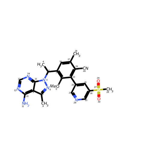 COc1c(C(C)n2nc(C)c3c(N)ncnc32)cc(C)c(C#N)c1-c1cncc(S(C)(=O)=O)c1